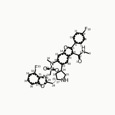 CNC(=O)c1c(-c2ccc(F)cc2)oc2cc(N(C)S(C)(=O)=O)c(C3CN[C@H](Cc4nc5c(F)cccc5o4)C3)cc12